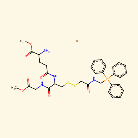 COC(=O)CNC(=O)C(CSSCC(=O)NC[P+](c1ccccc1)(c1ccccc1)c1ccccc1)NC(=O)CCC(N)C(=O)OC.[Br-]